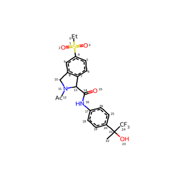 CCS(=O)(=O)c1ccc2c(c1)CN(C(C)=O)C2C(=O)Nc1ccc(C(C)(O)C(F)(F)F)cc1